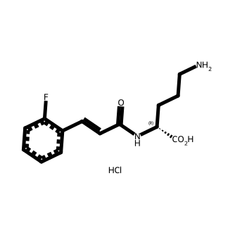 Cl.NCCC[C@@H](NC(=O)C=Cc1ccccc1F)C(=O)O